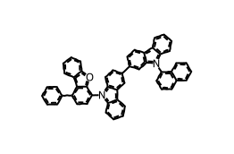 c1ccc(-c2ccc(-n3c4ccccc4c4cc(-c5ccc6c7ccccc7n(-c7cccc8ccccc78)c6c5)ccc43)c3oc4ccccc4c23)cc1